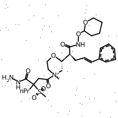 CCCC(CC(=O)[N+]1(C)CCO[C@H]([C@H](C/C=C/c2ccccc2)C(=O)NOC2CCCCO2)C1)(C(=O)NN)S(C)(=O)=O